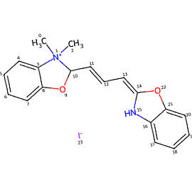 C[N+]1(C)c2ccccc2OC1C=CC=C1Nc2ccccc2O1.[I-]